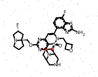 Nc1nc2c(C3=Cc4nc(OC[C@@]56CCCN5C[C@H](F)C6)nc(N5C6CNCC5COC6)c4S(=O)(=O)N3CC3COC3)ccc(F)c2s1